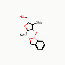 COC1[C@@H](CO)O[C@@H](OC)[C@H]1OB1OCc2ccccc21